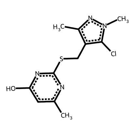 Cc1cc(O)nc(SCc2c(C)nn(C)c2Cl)n1